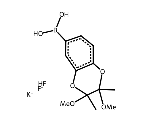 COC1(C)Oc2ccc(B(O)O)cc2OC1(C)OC.F.[F-].[K+]